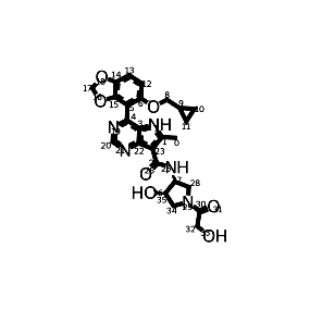 Cc1[nH]c2c(-c3c(OCC4CC4)ccc4c3OCO4)ncnc2c1C(=O)N[C@@H]1CN(C(=O)CO)C[C@H]1O